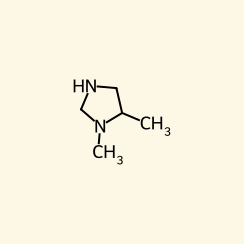 CC1CNCN1C